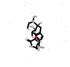 CCCN1CC[C@]23C[C@]4(CC[C@@]2(O)[C@H]1Cc1ccc(OC)cc13)NC(=O)NC4=O